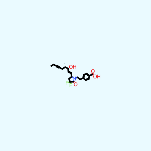 CCC#CC[C@H](C)[C@H](O)C=CC1CC(F)(F)C(=O)N1CCc1ccc(C(=O)O)cc1